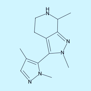 Cc1cnn(C)c1-c1c2c(nn1C)C(C)NCC2